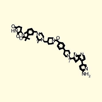 C[C@H]1CN(Cc2ccc3c(c2)C(C)(C)C(=O)N3C2CCC(=O)NC2=O)CCN1CC1CCN(C(=O)c2ccc(C3CCN([C@@H](C)c4cc5c(-c6ccc(N)nc6)ccnc5n4C)CC3)cc2)CC1